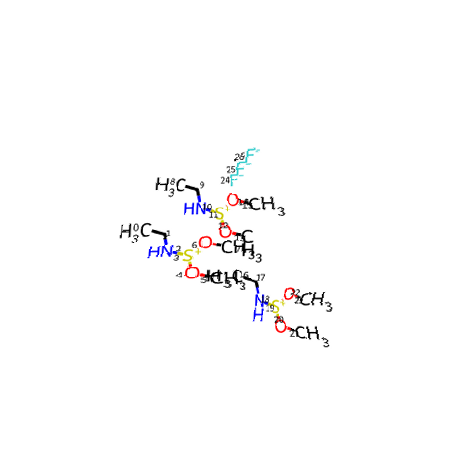 CCN[S+](OC)OC.CCN[S+](OC)OC.CCN[S+](OC)OC.[F-].[F-].[F-]